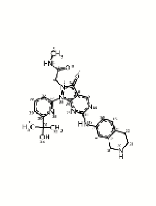 CNC(=O)Cn1c(=O)c2cnc(Nc3ccc4c(c3)CNCC4)nc2n1-c1cccc(C(C)(C)O)n1